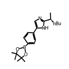 CCCC[C@H](C)c1ncc(-c2ccc(B3OC(C)(C)C(C)(C)O3)cc2)[nH]1